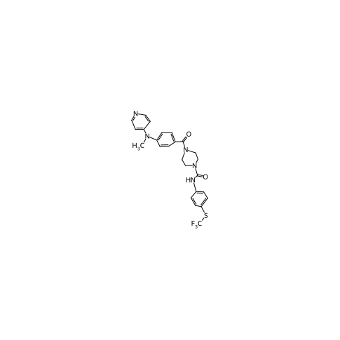 CN(c1ccncc1)c1ccc(C(=O)N2CCN(C(=O)Nc3ccc(SC(F)(F)F)cc3)CC2)cc1